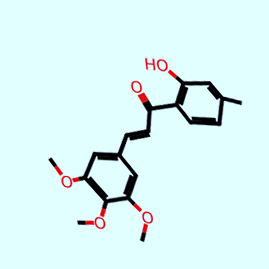 COc1cc(/C=C/C(=O)c2ccc(C)cc2O)cc(OC)c1OC